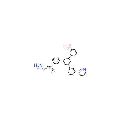 Bc1cccc(-c2cc(-c3cccc(/C(C=C)=C/C=C\N)c3)cc(-c3cccc(-c4cccnc4)c3)c2)c1